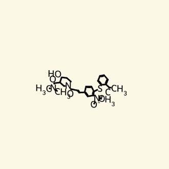 CC(C)c1ccccc1Sc1ccc(C=CC(=O)N2CCC(O)C(C(=O)N(C)C)C2)cc1[N+](=O)[O-]